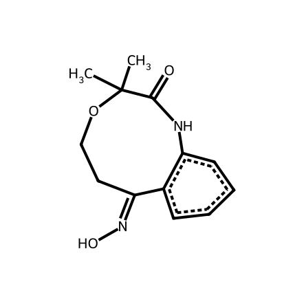 CC1(C)OCCC(=NO)c2ccccc2NC1=O